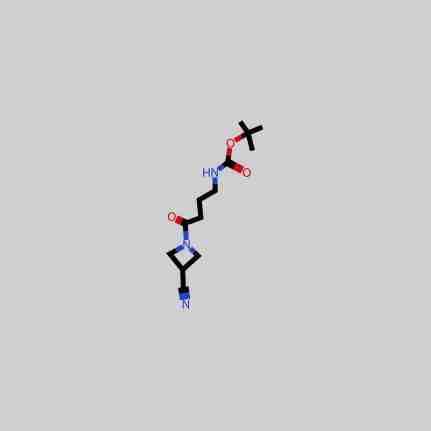 CC(C)(C)OC(=O)NCCCC(=O)N1CC(C#N)C1